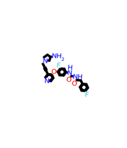 NC1CCN(CC#Cc2cnccc2Oc2ccc(NC(=O)NC(=O)Cc3ccc(F)cc3)cc2F)C1